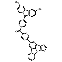 CC(C)(C)c1ccc2c(c1)c1cc(C(C)(C)C)ccc1n2-c1ccc(C(=O)c2ccc(-c3cc4c5ccccc5n5c6sccc6c(c3)c45)cc2)cc1